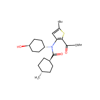 COC(=O)c1sc(C(C)(C)C)cc1N(C(=O)[C@H]1CC[C@H](C)CC1)[C@H]1CC[C@H](O)CC1